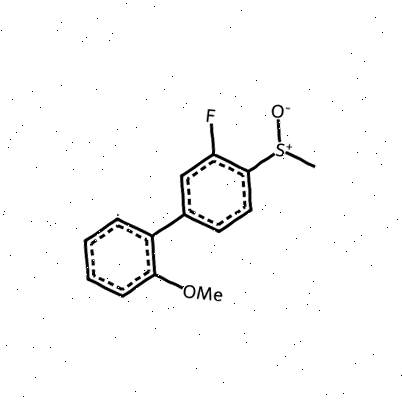 COc1ccc[c]c1-c1ccc([S+](C)[O-])c(F)c1